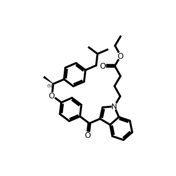 CCOC(=O)CCCn1cc(C(=O)c2ccc(O[C@@H](C)c3ccc(CC(C)C)cc3)cc2)c2ccccc21